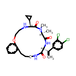 C=C(c1ccc(Cl)c(Cl)c1)[C@H]1NC(=O)[C@@H](C)N(C)C(=O)[C@H](C2CC2)NCCOc2ccccc2CCCNC1=O